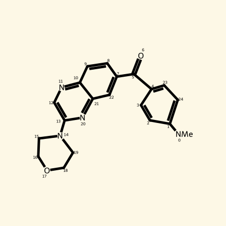 CNc1ccc(C(=O)c2ccc3ncc(N4CCOCC4)nc3c2)cc1